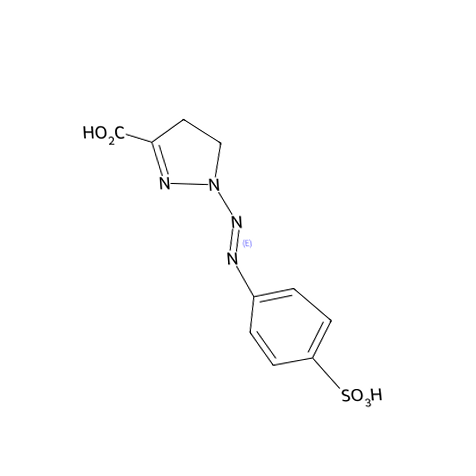 O=C(O)C1=NN(/N=N/c2ccc(S(=O)(=O)O)cc2)CC1